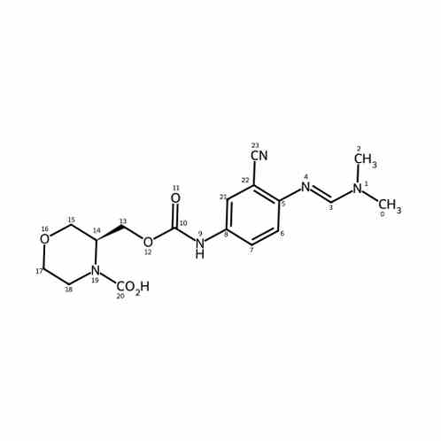 CN(C)/C=N/c1ccc(NC(=O)OC[C@@H]2COCCN2C(=O)O)cc1C#N